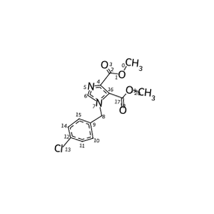 COC(=O)c1ncn(Cc2ccc(Cl)cc2)c1C(=O)OC